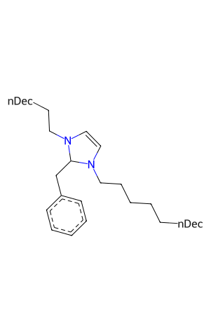 CCCCCCCCCCCCCCCN1C=CN(CCCCCCCCCCCC)C1Cc1ccccc1